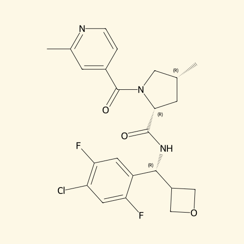 Cc1cc(C(=O)N2C[C@H](C)C[C@@H]2C(=O)N[C@@H](c2cc(F)c(Cl)cc2F)C2COC2)ccn1